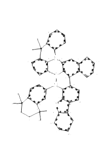 CC1(C)CCC(C)(C)c2cc(N3B4c5cccc6c5N(c5ccccc5C6(C)C)c5cc6ccccc6c(c54)-c4ccc5c(oc6ccccc65)c43)ccc21